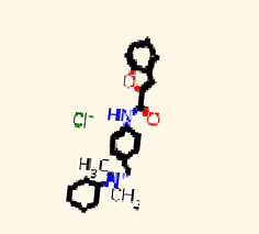 C[N+](C)(Cc1ccc(NC(=O)c2cc3ccccc3o2)cc1)C1CCCCC1.[Cl-]